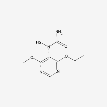 CCOc1ncnc(OC)c1N(S)C(N)=O